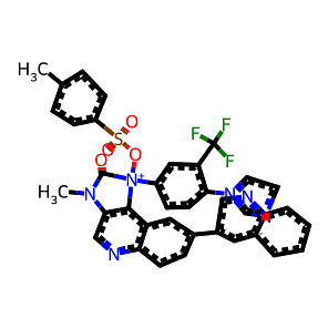 Cc1ccc(S(=O)(=O)O[N+]2(c3ccc(-n4ccnc4)c(C(F)(F)F)c3)C(=O)N(C)c3cnc4ccc(-c5cnc6ccccc6c5)cc4c32)cc1